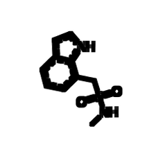 CNS(=O)(=O)Cc1cccc2cc[nH]c12